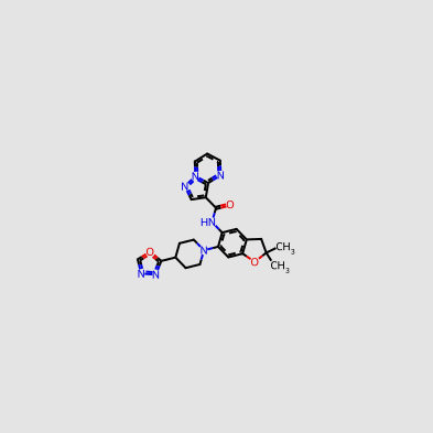 CC1(C)Cc2cc(NC(=O)c3cnn4cccnc34)c(N3CCC(c4nnco4)CC3)cc2O1